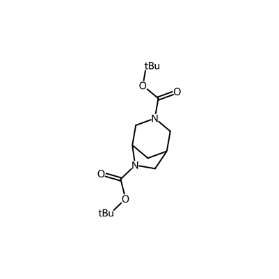 CC(C)(C)OC(=O)N1CC2CC(C1)N(C(=O)OC(C)(C)C)C2